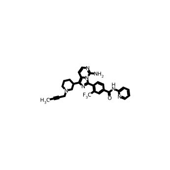 CC#CCN1CCCC(c2nc(-c3ccc(C(=O)Nc4ccccn4)cc3C(F)(F)F)n3c(N)nccc23)C1